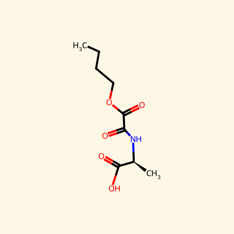 CCCCOC(=O)C(=O)N[C@@H](C)C(=O)O